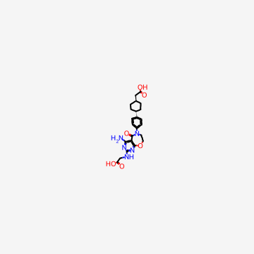 Nc1nc(NCC(=O)O)nc2c1C(=O)N(c1ccc([C@H]3CC[C@H](CC(=O)O)CC3)cc1)CCO2